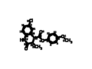 COc1ccc(OC(=O)N2c3cc(Cl)ccc3NC(=O)[C@@H]2C)cc1